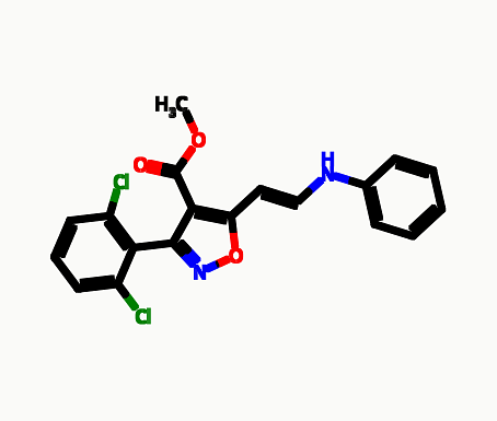 COC(=O)c1c(-c2c(Cl)cccc2Cl)noc1C=CNc1ccccc1